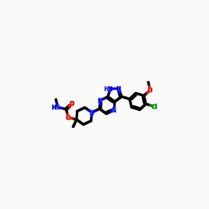 CNC(=O)OC1(C)CCN(c2cnc3c(-c4ccc(Cl)c(OC)c4)n[nH]c3n2)CC1